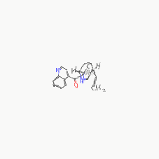 C=C[C@H]1CN2CCC1C[C@H]2C(=O)c1ccnc2ccccc12